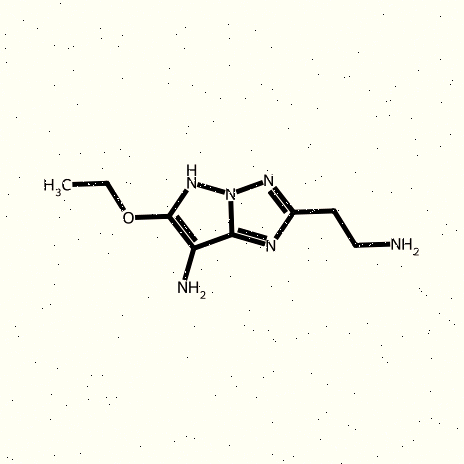 CCOc1[nH]n2nc(CCN)nc2c1N